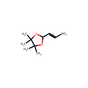 CC1(C)OC(/C=C/[N+](=O)[O-])OC1(C)C